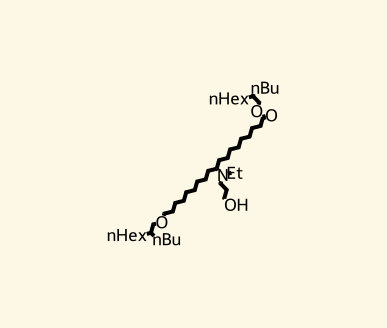 CCCCCCC(CCCC)COCCCCCCCCCC(CCCCCCCCC(=O)OCC(CCCC)CCCCCC)N(CC)CCCO